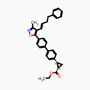 CCOC(=O)[C@@H]1C[C@@H]1c1ccc(-c2ccc(-c3onc(C)c3/C=C/CCc3ccccc3)cc2)cc1